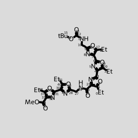 CCc1oc(-c2nc(-c3nc(CNC(=O)OC(C)(C)C)oc3CC)oc2CC)nc1C(=O)NCc1nc(-c2nc(C(=O)OC)c(CC)o2)c(CC)o1